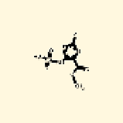 COC(=O)c1nc(Cl)sc1NS(C)(=O)=O